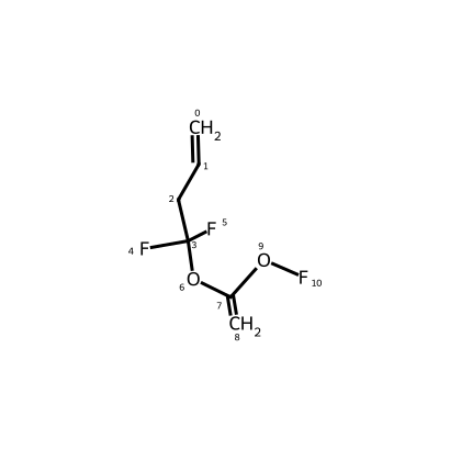 C=CCC(F)(F)OC(=C)OF